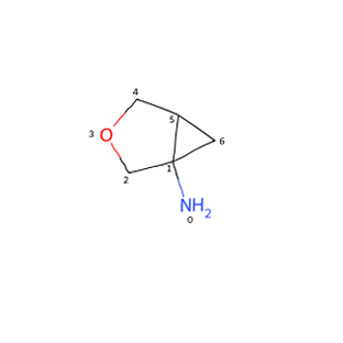 NC12COCC1C2